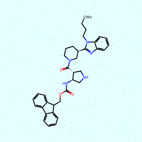 COCCCn1c([C@@H]2CCCN(C(=O)[C@@H]3CNC[C@H]3NC(=O)OCC3c4ccccc4-c4ccccc43)C2)nc2ccccc21